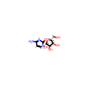 NC1=NC(=O)[N+](O)([C@@H]2O[C@H](CO)[C@@H](O)[C@H]2O)C=C1